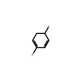 FC1=CC[C](I)C=C1